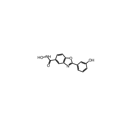 O=C(NO)c1ccc2oc(-c3cccc(O)c3)nc2c1